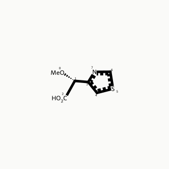 CO[C@@H](C(=O)O)c1cscn1